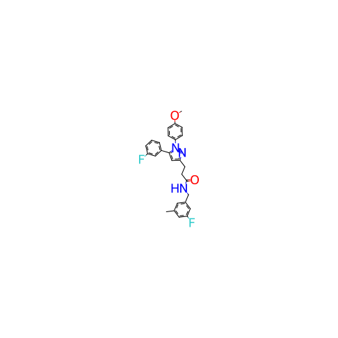 COc1ccc(-n2nc(CCC(=O)NCc3cc(C)cc(F)c3)cc2-c2cccc(F)c2)cc1